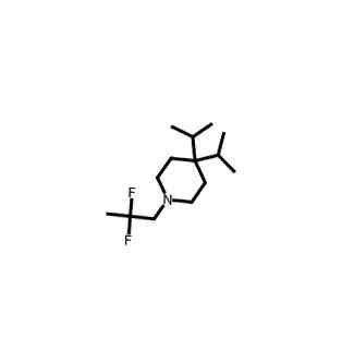 CC(C)C1(C(C)C)CCN(CC(C)(F)F)CC1